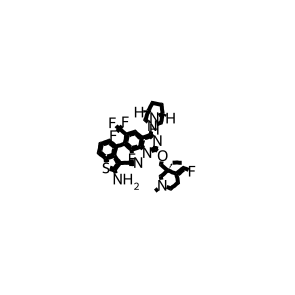 CC[C@@]1(COc2nc(N3C[C@H]4CC[C@@H](C3)N4)c3cc(C(F)(F)F)c(-c4cccc5sc(N)c(C#N)c45)c(F)c3n2)CN(C)CC/C1=C\F